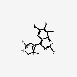 Fc1c(Br)c(I)cc2c(N3C[C@@H]4C[C@H]3CN4)nc(Cl)nc12